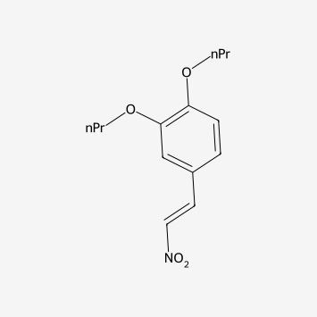 CCCOc1ccc(/C=C/[N+](=O)[O-])cc1OCCC